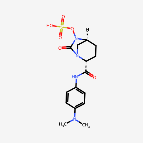 CN(C)c1ccc(NC(=O)[C@H]2CC[C@H]3CN2C(=O)N3OS(=O)(=O)O)cc1